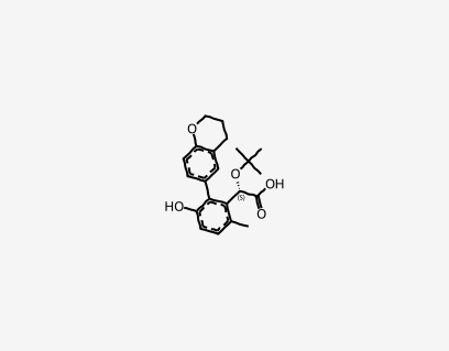 Cc1ccc(O)c(-c2ccc3c(c2)CCCO3)c1[C@H](OC(C)(C)C)C(=O)O